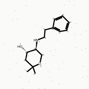 CC1(C)C[C@H](O)[C@@H](NCCc2ccccc2)CO1